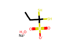 CCC(S)(S)S(=O)(=O)[O-].O.[Na+]